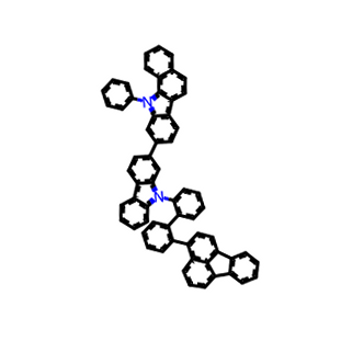 c1ccc(-n2c3cc(-c4ccc5c6ccccc6n(-c6ccccc6-c6ccccc6-c6ccc7c8c(cccc68)-c6ccccc6-7)c5c4)ccc3c3ccc4ccccc4c32)cc1